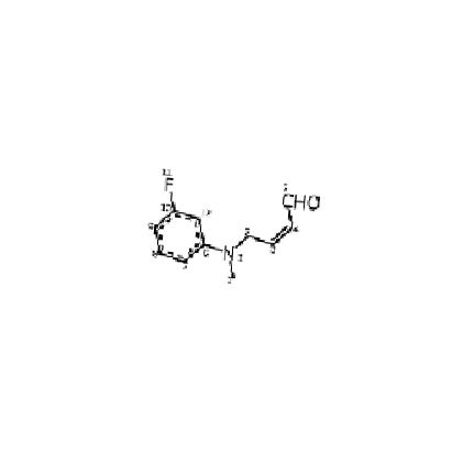 CN(C/C=C\C=O)c1cccc(F)c1